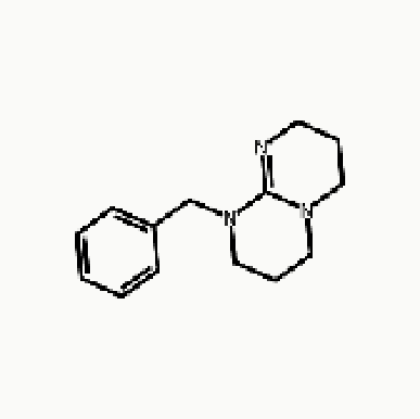 c1ccc(CN2CCCN3CCCN=C32)cc1